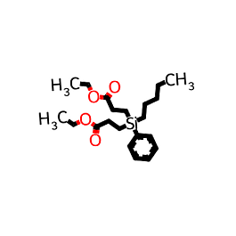 CCCCC[Si](CCC(=O)OCC)(CCC(=O)OCC)c1ccccc1